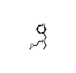 CCN(CCOC)Cc1cccnc1